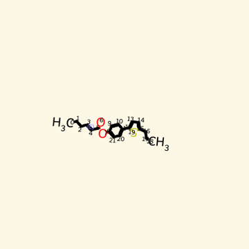 CCC/C=C/C(=O)Oc1ccc(-c2ccc(CCC)s2)cc1